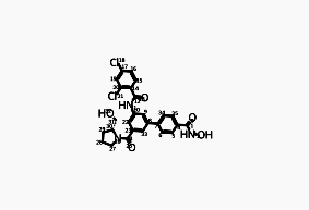 O=C(NO)c1ccc(-c2cc(NC(=O)c3ccc(Cl)cc3Cl)cc(C(=O)N3CCC[C@@H]3CO)c2)cc1